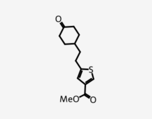 COC(=O)c1csc(CCC2CCC(=O)CC2)c1